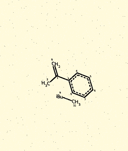 C=C(C)c1ccccc1.[CH2]CC(C)C